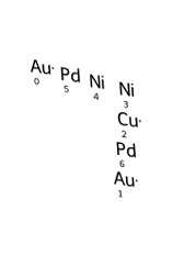 [Au].[Au].[Cu].[Ni].[Ni].[Pd].[Pd]